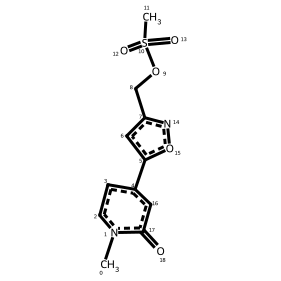 Cn1ccc(-c2cc(COS(C)(=O)=O)no2)cc1=O